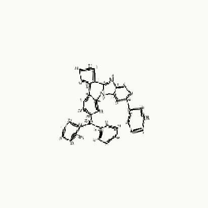 c1ccc(-c2ccc3nc4c5ccccc5c5ccc(P(c6ccccc6)c6ccccc6)cc5n4c3c2)cc1